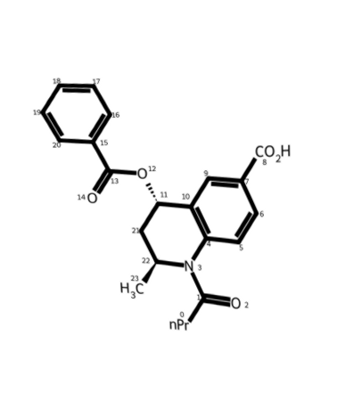 CCCC(=O)N1c2ccc(C(=O)O)cc2[C@@H](OC(=O)c2ccccc2)C[C@@H]1C